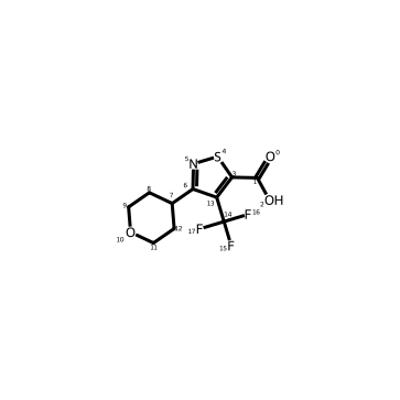 O=C(O)c1snc(C2CCOCC2)c1C(F)(F)F